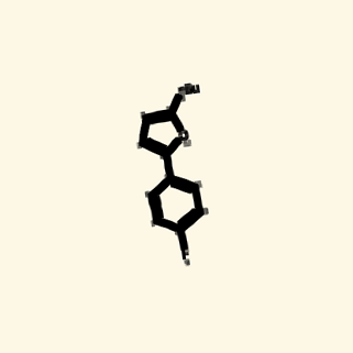 C[CH]CCc1ccc(-c2ccc(F)cc2)o1